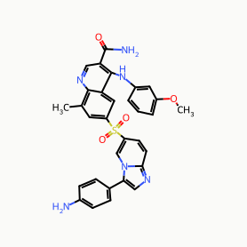 COc1cccc(Nc2c(C(N)=O)cnc3c(C)cc(S(=O)(=O)c4ccc5ncc(-c6ccc(N)cc6)n5c4)cc23)c1